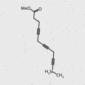 COC(=O)CCC#CCC#CCC#C[SiH2]C